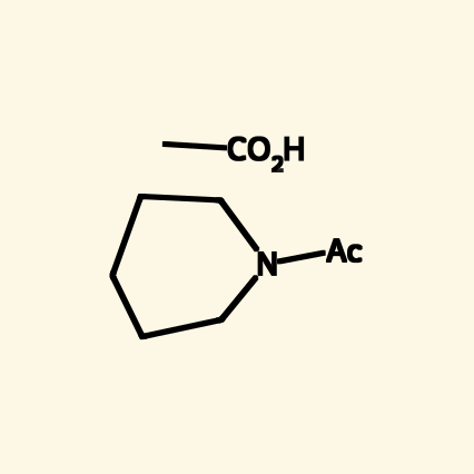 CC(=O)N1CCCCC1.CC(=O)O